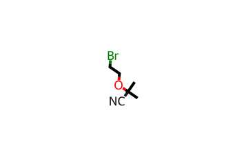 CC(C)(C#N)OCCBr